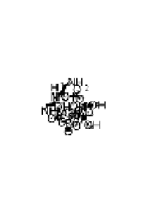 NCCNCCN.O=P(O)(O)OP(=O)(O)OP(=O)(O)OP(=O)(O)OP(=O)(O)O